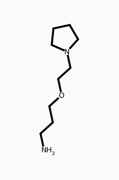 NCCCOCCN1CCCC1